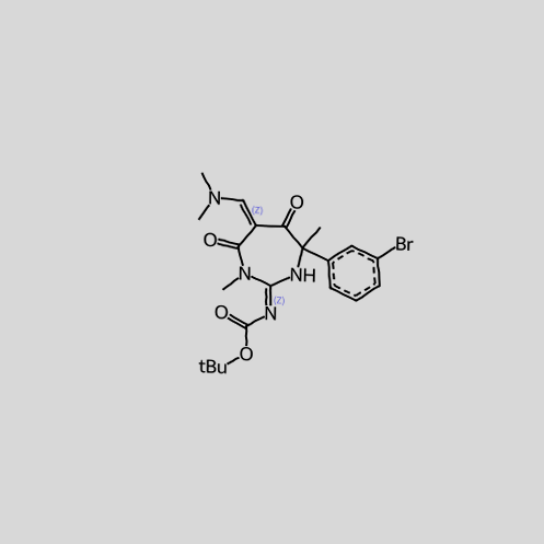 CN(C)/C=C1\C(=O)N(C)/C(=N\C(=O)OC(C)(C)C)NC(C)(c2cccc(Br)c2)C1=O